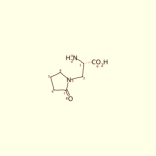 N[C@@H](CN1CCCC1=O)C(=O)O